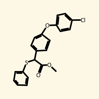 COC(=O)C(Sc1ccccc1)c1ccc(Oc2ccc(Cl)cc2)cc1